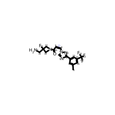 Cc1cc(-c2ncn(/C=C\C(=O)N3CC(F)(CN)C3)n2)cc(C(F)(F)F)c1